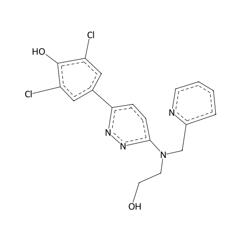 OCCN(Cc1ccccn1)c1ccc(-c2cc(Cl)c(O)c(Cl)c2)nn1